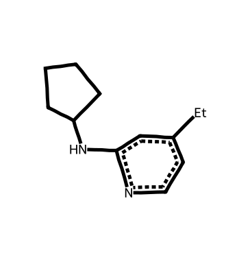 CCc1ccnc(NC2CCCC2)c1